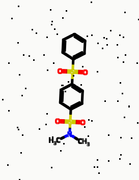 CN(C)S(=O)(=O)c1ccc(S(=O)(=O)c2ccccc2)cc1